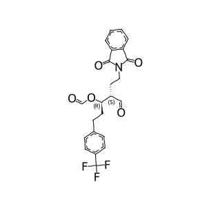 O=CO[C@H](CCc1ccc(C(F)(F)F)cc1)[C@@H](C=O)CCN1C(=O)c2ccccc2C1=O